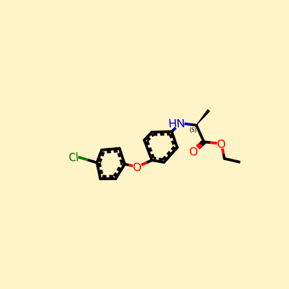 CCOC(=O)[C@H](C)Nc1ccc(Oc2ccc(Cl)cc2)cc1